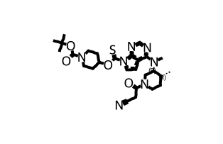 C[C@@H]1CCN(C(=O)CC#N)C[C@@H]1N(C)c1ncnc2c1ccn2C(=S)OC1CCN(C(=O)OC(C)(C)C)CC1